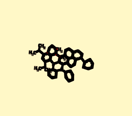 CC(C)c1cc(C(C)C)c(B2c3ccccc3N(c3ccccc3)c3c2c(-c2ccccc2)c2ccc4ccc(-c5ccccc5)c5ccc3c2c45)c(C(C)C)c1